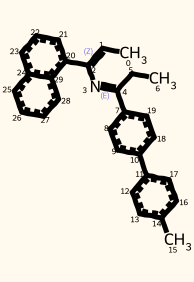 C/C=C(\N=C(/CC)c1ccc(-c2ccc(C)cc2)cc1)c1cccc2ccccc12